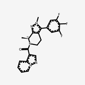 C[C@H]1c2nn(C)c(-c3cc(F)c(F)c(F)c3)c2CCN1C(=O)c1cnn2ccccc12